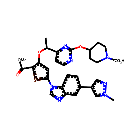 COC(=O)c1sc(-n2cnc3cc(-c4cnn(C)c4)ccc32)cc1OC(C)c1ccnc(OC2CCN(C(=O)O)CC2)n1